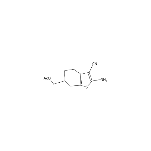 CC(=O)OCC1CCc2c(sc(N)c2C#N)C1